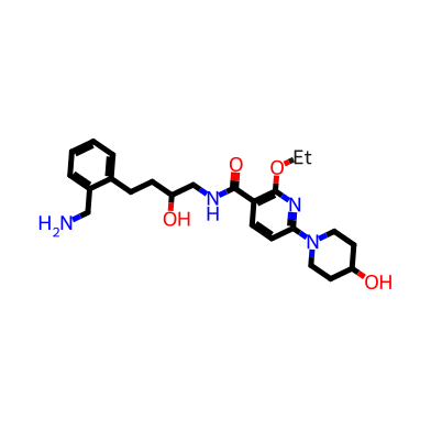 CCOc1nc(N2CCC(O)CC2)ccc1C(=O)NCC(O)CCc1ccccc1CN